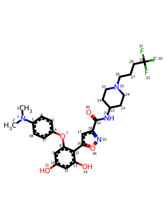 CN(C)c1ccc(Oc2cc(O)cc(O)c2-c2cc(C(=O)NC3CCN(CCCC(F)(F)F)CC3)no2)cc1